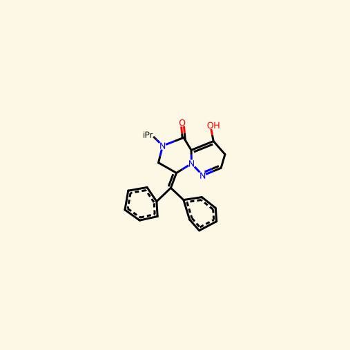 CC(C)N1CC(=C(c2ccccc2)c2ccccc2)N2N=CCC(O)=C2C1=O